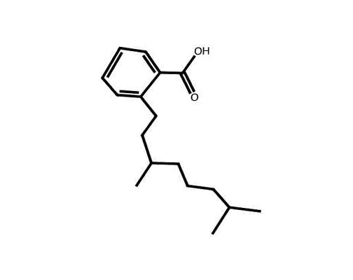 CC(C)CCCC(C)CCc1ccccc1C(=O)O